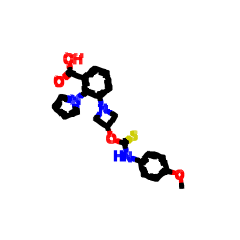 COc1ccc(NC(=S)OC2CN(c3cccc(C(=O)O)c3-n3cccc3)C2)cc1